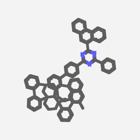 Cc1ccccc1-c1ccccc1C12CCCC34CC(CC5CCC(C1)c1ccccc1-c1c(-c6ccc(-c7nc(-c8ccccc8)nc(-c8cc9ccccc9c9ccccc89)n7)cc6)cccc1C523)c1ccccc1-c1ccccc14